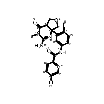 CN1C(=O)C2COCC2(c2cc(NC(=O)c3ccc(Cl)cn3)ccc2F)N=C1N